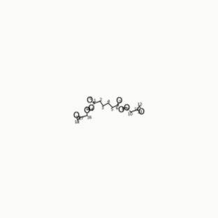 O=C(CCCCC(=O)OOCC1CO1)OOCC1CO1